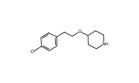 Clc1ccc(CCOC2CCNCC2)cc1